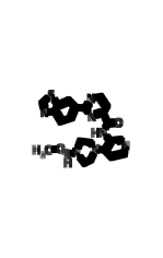 COBN1CCN(c2ccncc2NC(=O)c2ccnc(-c3ccc4ncsc4c3)n2)CC1